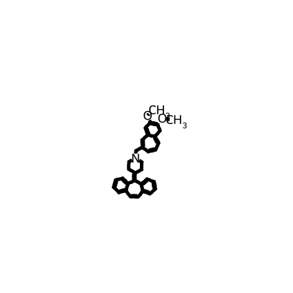 COC1=C(OC)CC2=CC=CC(CN3CCC(=C4c5ccccc5C=Cc5ccccc54)CC3)=CC2=C1